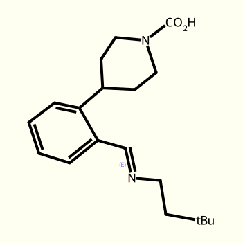 CC(C)(C)CC/N=C/c1ccccc1C1CCN(C(=O)O)CC1